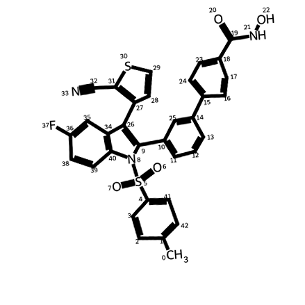 Cc1ccc(S(=O)(=O)n2c(-c3cccc(-c4ccc(C(=O)NO)cc4)c3)c(-c3ccsc3C#N)c3cc(F)ccc32)cc1